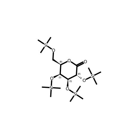 C[Si](C)(C)OC[C@H]1OC(=O)[C@H](O[Si](C)(C)C)[C@@H](O[Si](C)(C)C)[C@H]1O[Si](C)(C)C